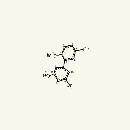 COc1ccc(F)cc1-c1cc(O)cc(Br)c1